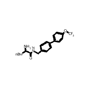 CCCCC(N)C(=O)NCc1ccc(-c2ccc(OC(F)(F)F)cc2)cc1